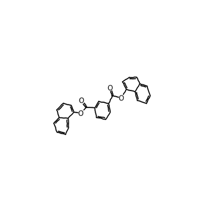 O=C(Oc1cccc2ccccc12)c1cccc(C(=O)Oc2cccc3ccccc23)c1